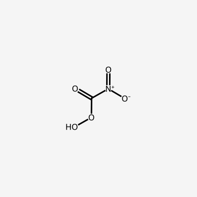 O=C(OO)[N+](=O)[O-]